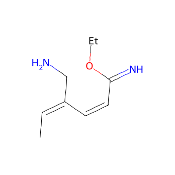 C/C=C(\C=C/C(=N)OCC)CN